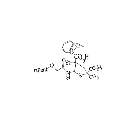 CCCCCOCC(=O)NC1SC(C)(C(=O)O)CC1(CC)C(=O)O.c1cc2nc3ccc2cc1O3